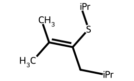 CC(C)=C(CC(C)C)SC(C)C